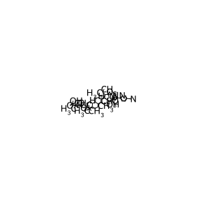 CC(C)C1=C2[C@H]3CC[C@@H]4[C@@]5(C)CC[C@H](OC(=O)CC(C)(C)C(=O)O)C(C)(C)C5CC[C@@]4(C)[C@]3(C)CC[C@@]2([C@H](O)c2nnc(-c3ccc(C#N)cn3)o2)CC1=O